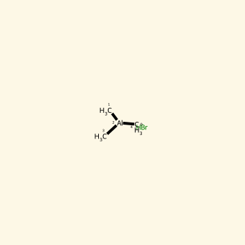 Br.[CH3][Al]([CH3])[CH3]